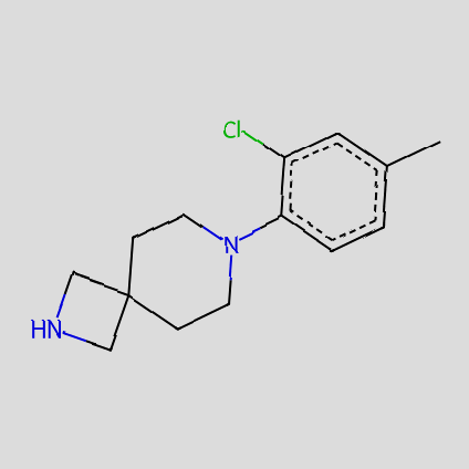 Cc1ccc(N2CCC3(CC2)CNC3)c(Cl)c1